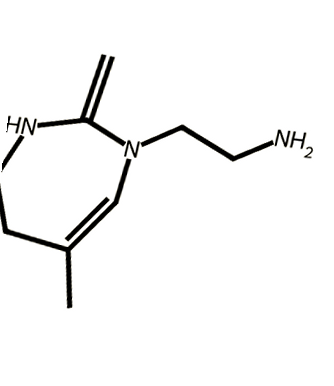 C=C1NCCC(C)=CN1CCN